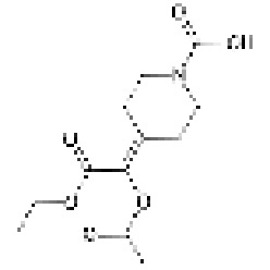 CCOC(=O)C(OC(C)=O)=C1CCN(C(=O)O)CC1